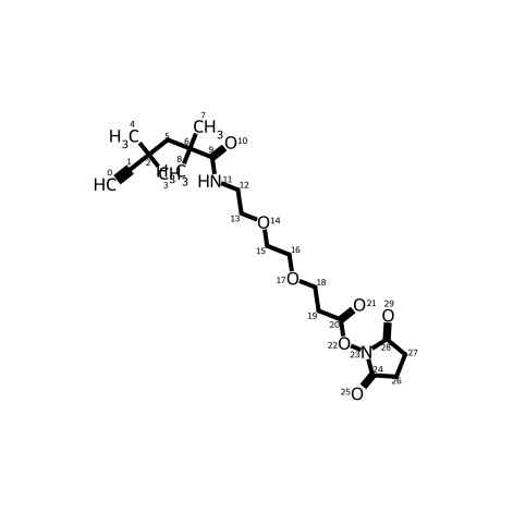 C#CC(C)(C)CC(C)(C)C(=O)NCCOCCOCCC(=O)ON1C(=O)CCC1=O